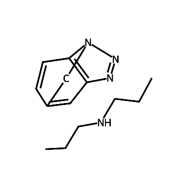 CCCNCCC.c1cc2c3cc1Cn2nn3